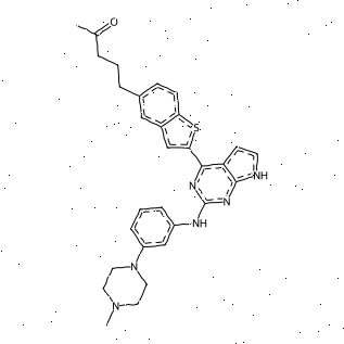 CC(=O)CCCc1ccc2sc(-c3nc(Nc4cccc(N5CCN(C)CC5)c4)nc4[nH]ccc34)cc2c1